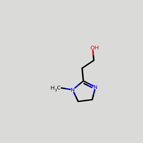 CN1CCN=C1CCO